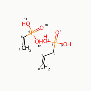 C=CCP(=O)(O)O.C=CP(=O)(O)O